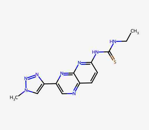 CCNC(=S)Nc1ccc2ncc(-c3cn(C)nn3)nc2n1